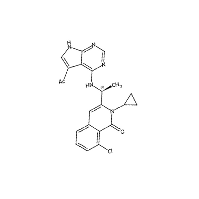 CC(=O)c1c[nH]c2ncnc(N[C@@H](C)c3cc4cccc(Cl)c4c(=O)n3C3CC3)c12